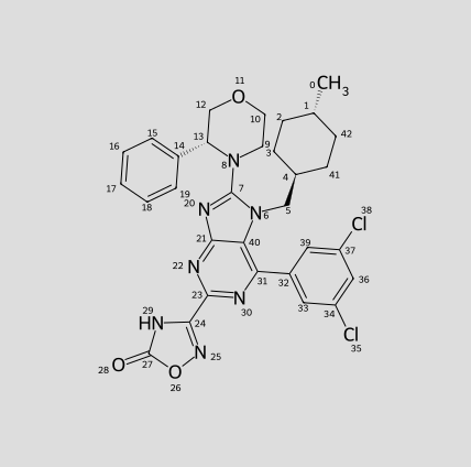 C[C@H]1CC[C@H](Cn2c(N3CCOC[C@H]3c3ccccc3)nc3nc(-c4noc(=O)[nH]4)nc(-c4cc(Cl)cc(Cl)c4)c32)CC1